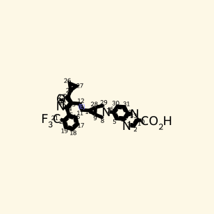 O=C(O)c1cnc2cc(N3CC4C(/C=C/c5c(-c6ccccc6C(F)(F)F)noc5C5CC5)C4C3)ccc2n1